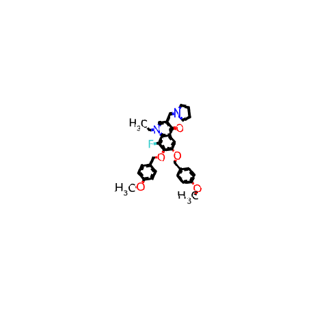 CCn1cc(CN2CCCC2)c(=O)c2cc(OCc3ccc(OC)cc3)c(OCc3ccc(OC)cc3)c(F)c21